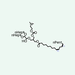 CCCCC/C=C\C/C=C\CCCCCCCC(=O)OCC(COC(=O)OCCN(C)C)COC(O)C(OCCCCCCC)OCCCCCCC